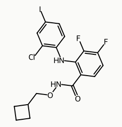 O=C(NOCC1CCC1)c1ccc(F)c(F)c1Nc1ccc(I)cc1Cl